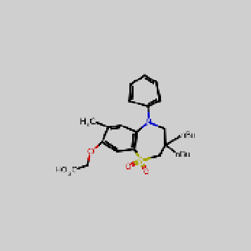 CCCCC1(CCCC)CN(c2ccccc2)c2cc(C)c(OCC(=O)O)cc2S(=O)(=O)C1